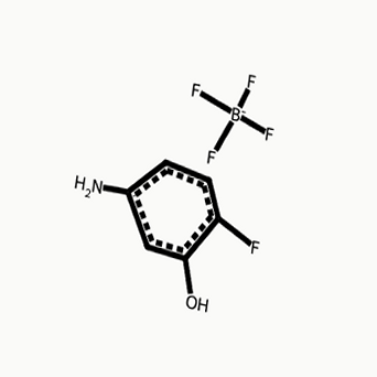 F[B-](F)(F)F.Nc1ccc(F)c(O)c1